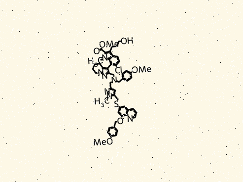 COC(=O)c1c(CCCO)c2ccc(Cl)c(-c3c(CN(Cc4ccc(OC)cc4)Cc4cc(CSc5cc(OCc6ccc(OC)cc6)c6ncccc6c5)n(C)n4)nn4c3CCCC4)c2n1C